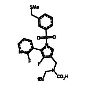 CSCc1cccc(S(=O)(=O)n2cc(CN(CC(C)(C)C)C(=O)O)c(F)c2-c2cccnc2F)c1